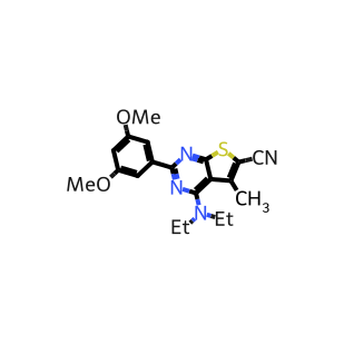 CCN(CC)c1nc(-c2cc(OC)cc(OC)c2)nc2sc(C#N)c(C)c12